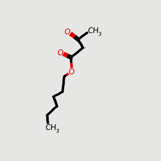 CCCCCCOC(=O)[CH]C(C)=O